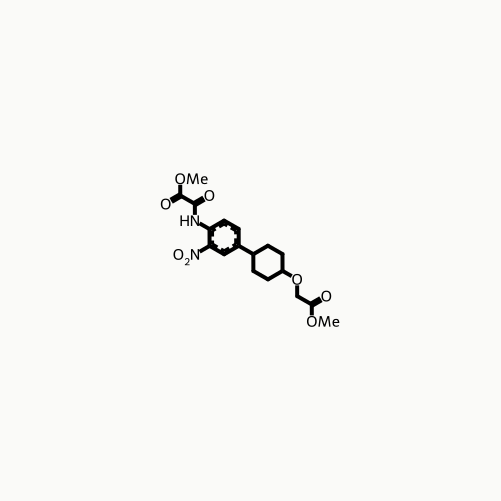 COC(=O)COC1CCC(c2ccc(NC(=O)C(=O)OC)c([N+](=O)[O-])c2)CC1